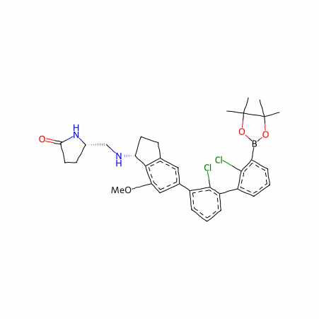 COc1cc(-c2cccc(-c3cccc(B4OC(C)(C)C(C)(C)O4)c3Cl)c2Cl)cc2c1[C@H](NC[C@@H]1CCC(=O)N1)CC2